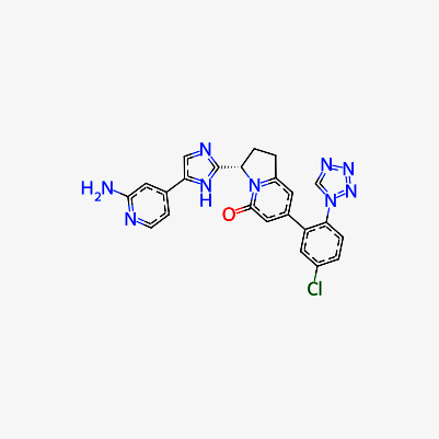 Nc1cc(-c2cnc([C@@H]3CCc4cc(-c5cc(Cl)ccc5-n5cnnn5)cc(=O)n43)[nH]2)ccn1